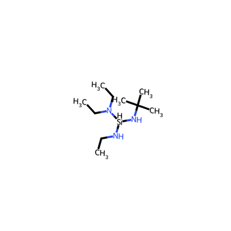 CCN[SiH](NC(C)(C)C)N(CC)CC